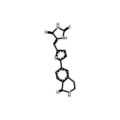 O=C1NC(=S)N/C1=C\c1ccc(-c2ccc3c(c2)CCNC3=O)s1